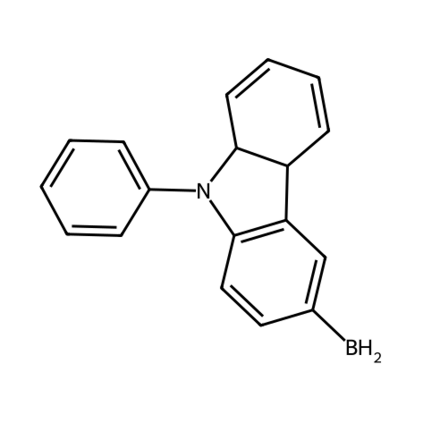 Bc1ccc2c(c1)C1C=CC=CC1N2c1ccccc1